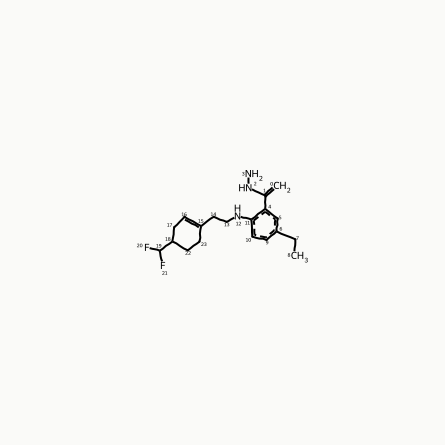 C=C(NN)c1cc(CC)ccc1NCCC1=CCC(C(F)F)CC1